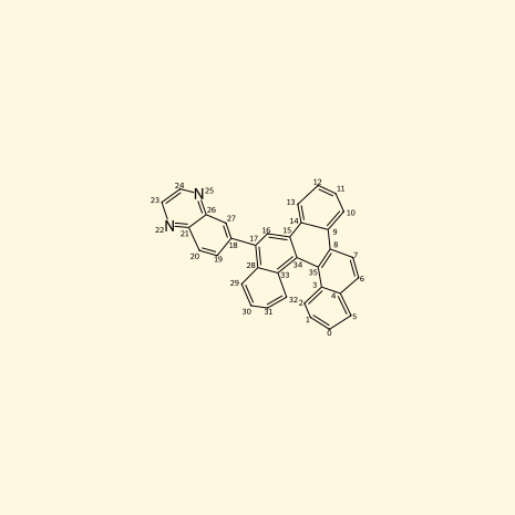 c1ccc2c(c1)ccc1c3ccccc3c3cc(-c4ccc5nccnc5c4)c4ccccc4c3c21